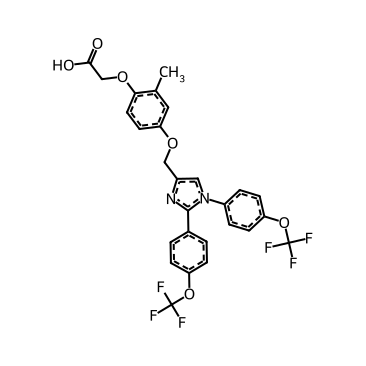 Cc1cc(OCc2cn(-c3ccc(OC(F)(F)F)cc3)c(-c3ccc(OC(F)(F)F)cc3)n2)ccc1OCC(=O)O